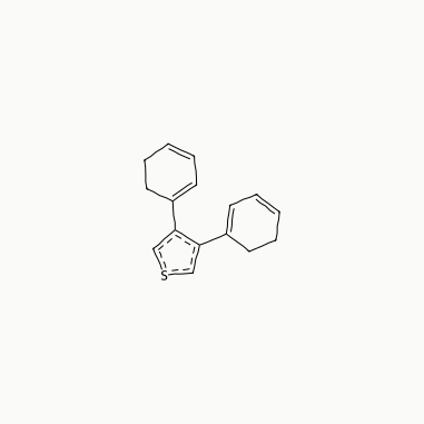 C1=CCCC(c2cscc2C2=CC=CCC2)=C1